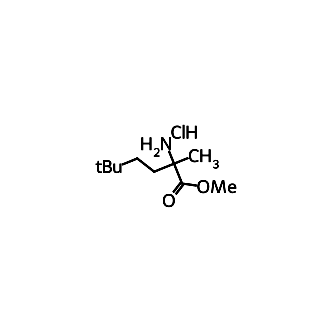 COC(=O)C(C)(N)CCC(C)(C)C.Cl